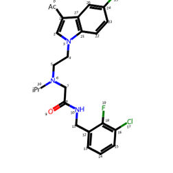 CC(=O)c1cn(CCN(CC(=O)NCc2cccc(Cl)c2F)C(C)C)c2ccc(Br)cc12